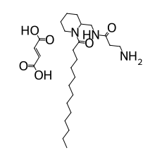 CCCCCCCCCCCCC(=O)N1CCCCC1CNC(=O)CCN.O=C(O)C=CC(=O)O